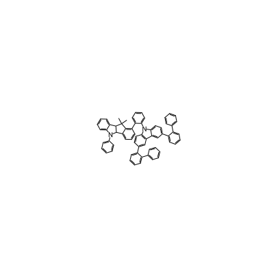 CC1(C)c2c(-c3ccccc3-n3c4ccc(-c5ccccc5-c5ccccc5)cc4c4cc(-c5ccccc5-c5ccccc5)ccc43)cccc2C2C1c1ccccc1N2c1ccccc1